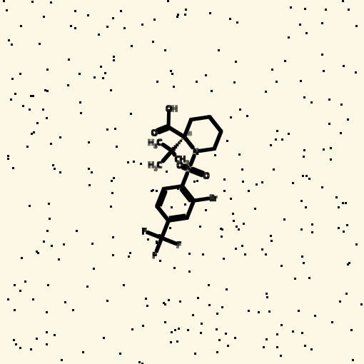 CC(C)(C)[C@]1(C(=O)O)CCCCN1S(=O)(=O)c1ccc(C(F)(F)F)cc1Br